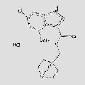 COc1cc(Cl)cc2[nH]cc(C(=O)OCC34CCN(CC3)CC4)c12.Cl